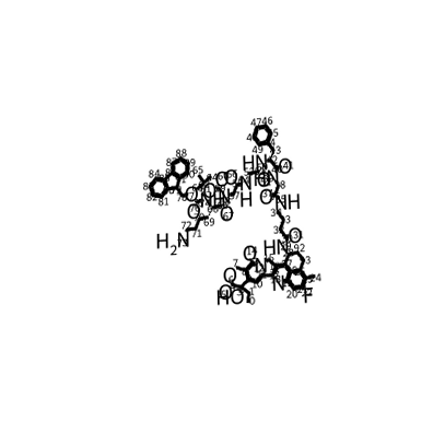 CC[C@@]1(O)C(=O)OCc2c1cc1n(c2=O)Cc2c-1nc1cc(F)c(C)c3c1c2[C@@H](NC(=O)CCCNC(=O)CNC(=O)[C@H](Cc1ccccc1)NC(=O)CNC(=O)CN(C(=O)OC(C)(C)C)C(=O)[C@H](CCCCN)NC(=O)OCC1c2ccccc2-c2ccccc21)CC3